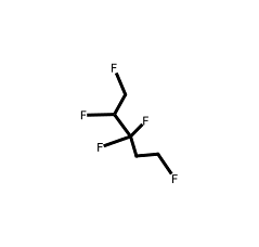 FCCC(F)(F)C(F)CF